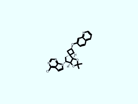 CC1(C)O[C@H]2[C@H](n3ccc4c(Cl)ncnc43)C[C@]3(C[C@H](Oc4ccc5cccnc5c4)C3)[C@H]2O1